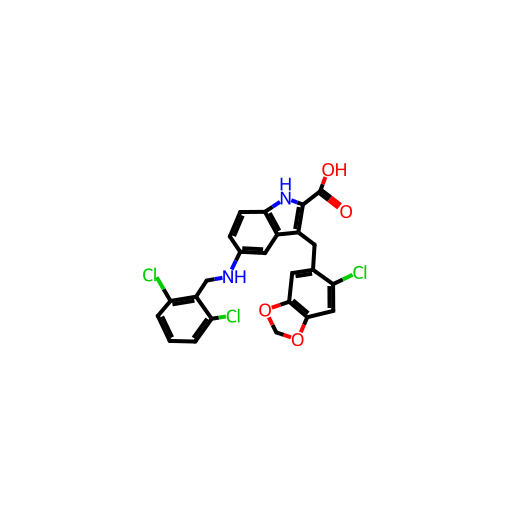 O=C(O)c1[nH]c2ccc(NCc3c(Cl)cccc3Cl)cc2c1Cc1cc2c(cc1Cl)OCO2